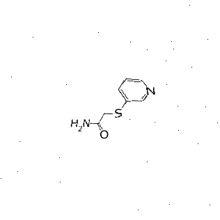 NC(=O)CSc1cccnc1